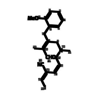 COc1ccccc1C/C(CN(C)C/C=C\C(C#N)=C/I)=C(\C)C=O